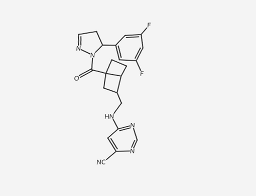 N#Cc1cc(NCC2CC3(C(=O)N4N=CCC4c4cc(F)cc(F)c4)CCC23)ncn1